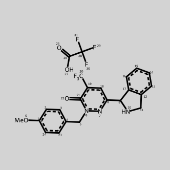 COc1ccc(Cn2nc(C3NCc4ccccc43)cc(C(F)(F)F)c2=O)cc1.O=C(O)C(F)(F)F